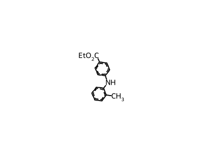 CCOC(=O)c1ccc(Nc2ccccc2C)cc1